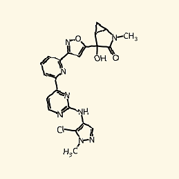 CN1C(=O)C(O)(c2cc(-c3cccc(-c4ccnc(Nc5cnn(C)c5Cl)n4)n3)no2)C2CC21